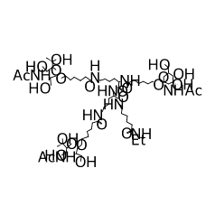 CCNC(=O)CCCCCNC(=O)C(CCCCNC(=O)CCCCCOC(OC(CO)[C@@H](C)O)[C@H](CO)NC(C)=O)NC(=O)C(CCCCNC(=O)CCCCCOC(OC(CO)[C@@H](C)O)[C@H](CO)NC(C)=O)NC(=O)CCCCCOC1OC(CO)C(O)[C@H](O)C1NC(C)=O